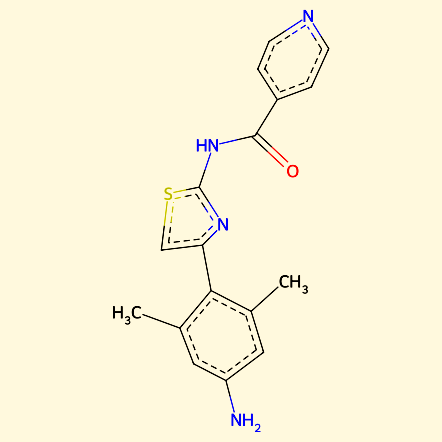 Cc1cc(N)cc(C)c1-c1csc(NC(=O)c2ccncc2)n1